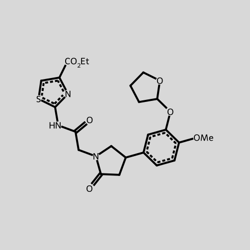 CCOC(=O)c1csc(NC(=O)CN2CC(c3ccc(OC)c(OC4CCCO4)c3)CC2=O)n1